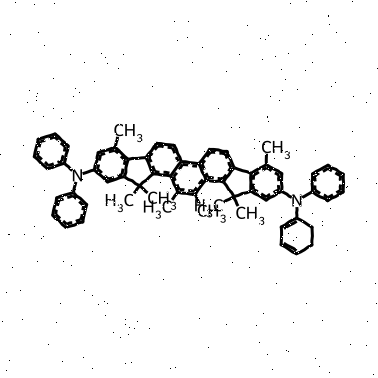 Cc1cc(N(C2=CC=CCC2)c2ccccc2)cc2c1-c1ccc3c(c(C)c(C)c4c5c(ccc43)-c3c(C)cc(N(c4ccccc4)c4ccccc4)cc3C5(C)C)c1C2(C)C